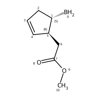 B[C@H]1CC=C[C@@H]1CC(=O)OC